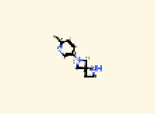 Cc1ccc(N2CC3(CCN3)C2)cn1